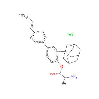 CC(C)C(N)C(=O)Oc1ccc(-c2ccc(C=CC(=O)O)cc2)cc1C12CC3CC(CC(C3)C1)C2.Cl